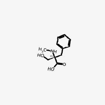 CN[C@](CO)(Cc1ccccc1)C(=O)O